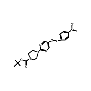 C[S+]([O-])c1ccc(COc2cnc(N3CCN(C(=O)OC(C)(C)C)CC3)nc2)cc1